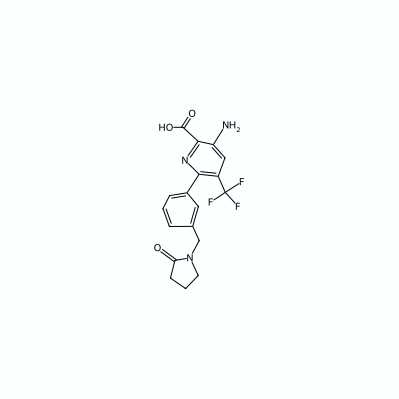 Nc1cc(C(F)(F)F)c(-c2cccc(CN3CCCC3=O)c2)nc1C(=O)O